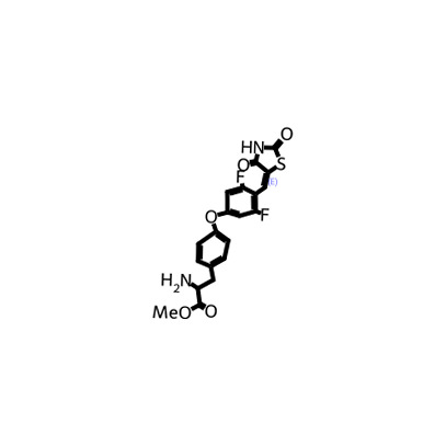 COC(=O)C(N)Cc1ccc(Oc2cc(F)c(/C=C3/SC(=O)NC3=O)c(F)c2)cc1